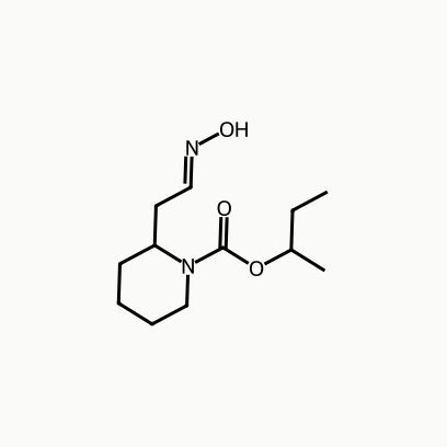 CCC(C)OC(=O)N1CCCCC1C/C=N/O